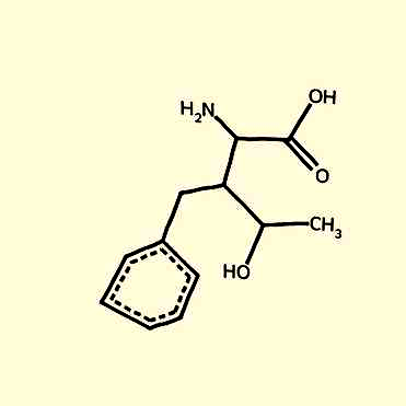 CC(O)C(Cc1ccccc1)C(N)C(=O)O